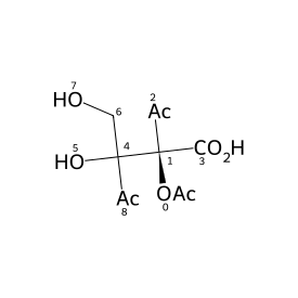 CC(=O)O[C@@](C(C)=O)(C(=O)O)C(O)(CO)C(C)=O